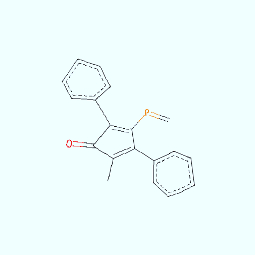 C=PC1=C(c2ccccc2)C(=O)C(C)=C1c1ccccc1